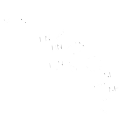 NC(=O)c1c(-c2ccc(NC(=O)NC3=CC=CCC3)cc2)nsc1NC(=O)NCCCN1CCOCC1